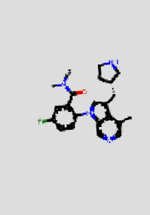 Cc1cncc2c1c(C[C@@H]1CCNC1)cn2-c1ccc(F)cc1C(=O)N(C)C(C)C